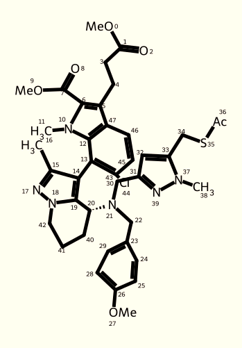 COC(=O)CCc1c(C(=O)OC)n(C)c2c(-c3c(C)nn4c3[C@H](N(Cc3ccc(OC)cc3)Cc3cc(CSC(C)=O)n(C)n3)CCC4)c(Cl)ccc12